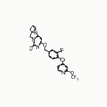 O=c1nc(OCc2ccc(Oc3ccnc(OC(F)(F)F)c3)c(F)c2)cc2n1CC13CC(CN21)C3